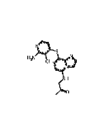 CC(=O)CNc1cnc(Sc2ccnc(N)c2Cl)c2nccn12